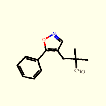 CC(C)(C=O)Cc1cnoc1-c1ccccc1